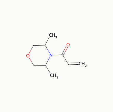 C=CC(=O)N1C(C)COCC1C